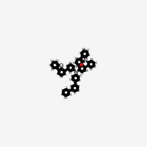 c1ccc(-c2cccc(-c3ccc(N(c4ccc(-c5ccccc5-n5c6ccccc6c6ccccc65)cc4)c4cccc(-c5cccc6c5oc5ccccc56)c4)cc3)c2)cc1